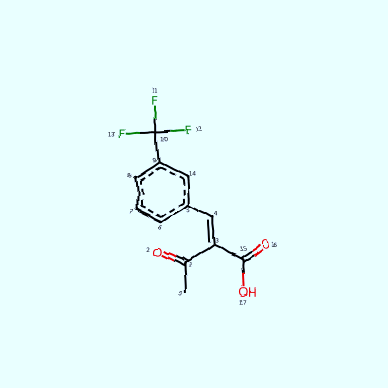 CC(=O)/C(=C\c1cccc(C(F)(F)F)c1)C(=O)O